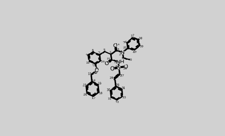 CCN(C(=O)C(Cc1cccc(OCc2ccccc2)c1)C(=O)NS(=O)(=O)C=Cc1ccccc1)c1ccccc1